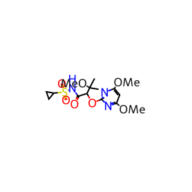 COc1cc(OC)nc(OC(C(=O)NS(=O)(=O)C2CC2)C(C)(C)OC)n1